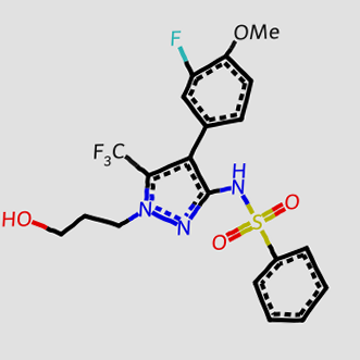 COc1ccc(-c2c(NS(=O)(=O)c3ccccc3)nn(CCCO)c2C(F)(F)F)cc1F